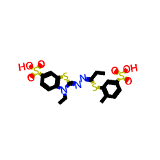 CC/C(=N/N=c1\sc2cc(S(=O)(=O)O)ccc2n1CC)Sc1cc(S(=O)(=O)O)ccc1C